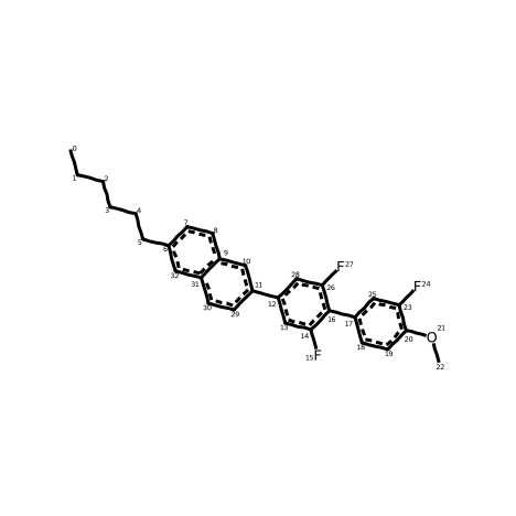 CCCCCCc1ccc2cc(-c3cc(F)c(-c4ccc(OC)c(F)c4)c(F)c3)ccc2c1